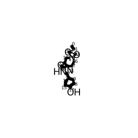 C=CS(=O)(=O)N1CCC2(CC1)N=C(c1ccc(O)cc1)NC2=O